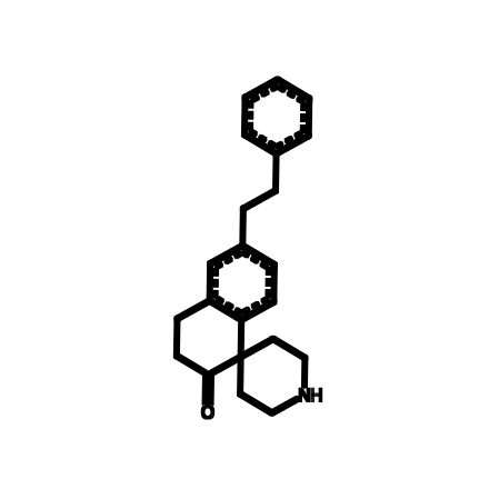 O=C1CCc2cc(CCc3ccccc3)ccc2C12CCNCC2